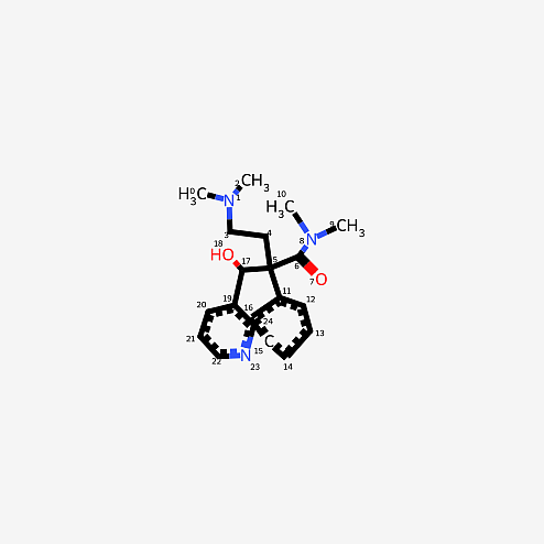 CN(C)CCC(C(=O)N(C)C)(c1ccccc1)C(O)c1cccnc1